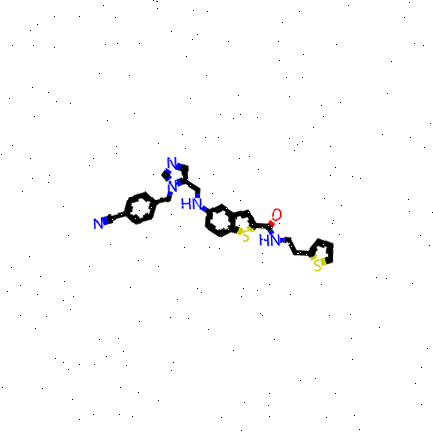 N#Cc1ccc(Cn2cncc2CNc2ccc3sc(C(=O)NCCc4cccs4)cc3c2)cc1